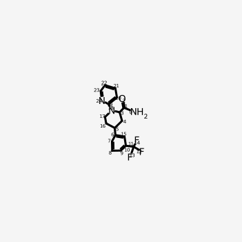 NC(=O)C1CC(c2cccc(C(F)(F)F)c2)CCN1c1cc[c]cn1